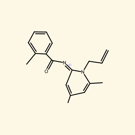 C=CCn1c(C)cc(C)c/c1=N\C(=O)c1ccccc1C